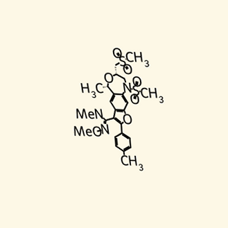 CN/C(=N\OC)c1c(-c2ccc(C)cc2)oc2cc3c(cc12)[C@H](C)O[C@H](CS(C)(=O)=O)CN3S(C)(=O)=O